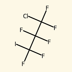 FC(F)(Cl)C(F)(F)C(F)(F)I